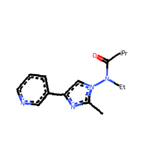 CCN(C(=O)C(C)C)n1cc(-c2cccnc2)nc1C